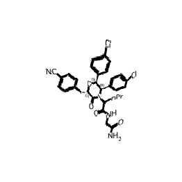 CCCC(C(=O)NCC(N)=O)N1C(=O)[C@H](Cc2ccc(C#N)cc2)O[C@@H](c2ccc(Cl)cc2)[C@H]1c1ccc(Cl)cc1